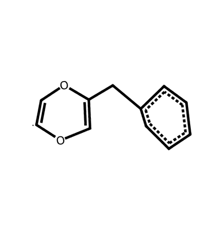 [C]1=COC(Cc2ccccc2)=CO1